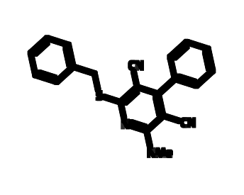 CNc1nc(SCc2ccccc2)c(C#N)c(-c2ccccc2)c1C#N